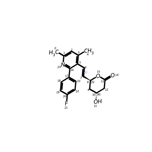 Cc1cc(C)c(/C=C/[C@@H]2C[C@@H](O)CC(=O)O2)c(-c2ccc(F)cc2)n1